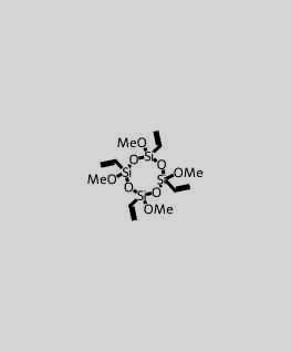 C=C[Si]1(OC)O[Si](C=C)(OC)O[Si](C=C)(OC)O[Si](C=C)(OC)O1